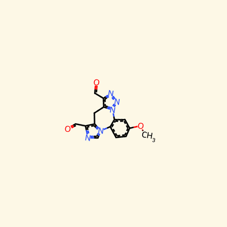 COc1ccc2c(c1)-n1nnc(C=O)c1Cc1c(C=O)ncn1-2